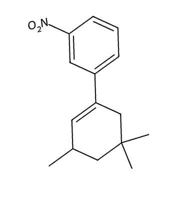 CC1C=C(c2cccc([N+](=O)[O-])c2)CC(C)(C)C1